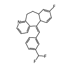 FC1=CC2CCc3ncccc3/C(=C\c3cccc(C(F)F)c3)C2C=C1